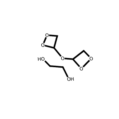 C1OOC1OC1COO1.OCCO